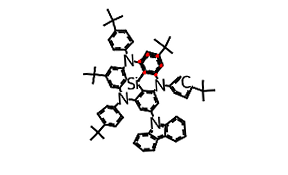 CC(C)(C)c1ccc(N2c3cc(-n4c5ccccc5c5ccccc54)cc4c3[Si]3(c5ccccc5)c5c2cc(C(C)(C)C)cc5N(c2ccc(C(C)(C)C)cc2)c2cc(C(C)(C)C)cc(c23)N4c2ccc(C(C)(C)C)cc2)cc1